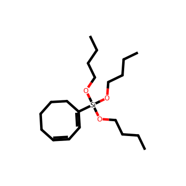 CCCCO[Si](OCCCC)(OCCCC)C1=CC=CCCCC1